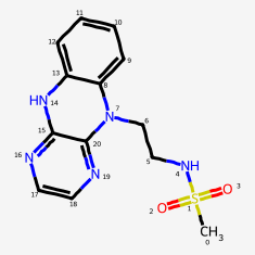 CS(=O)(=O)NCCN1c2ccccc2Nc2nccnc21